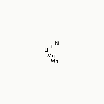 [Li].[Mg].[Mn].[Ni].[Ti]